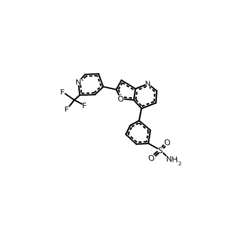 NS(=O)(=O)c1cccc(-c2ccnc3cc(-c4ccnc(C(F)(F)F)c4)oc23)c1